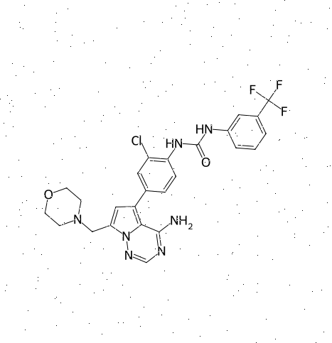 Nc1ncnn2c(CN3CCOCC3)cc(-c3ccc(NC(=O)Nc4cccc(C(F)(F)F)c4)c(Cl)c3)c12